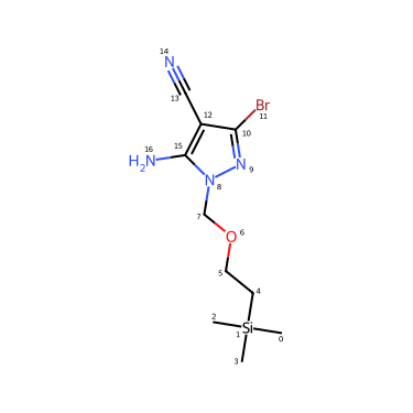 C[Si](C)(C)CCOCn1nc(Br)c(C#N)c1N